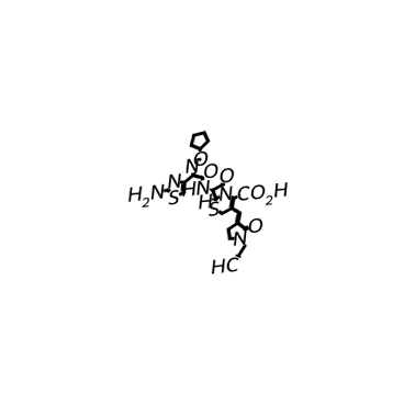 C#CCN1CC/C(=C\C2=C(C(=O)O)N3C(=O)[C@@H](NC(=O)/C(=N\OC4CCCC4)c4csc(N)n4)[C@H]3SC2)C1=O